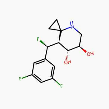 O[C@@H]1[C@@H]([C@H](F)c2cc(F)cc(F)c2)C2(CC2)NC[C@H]1O